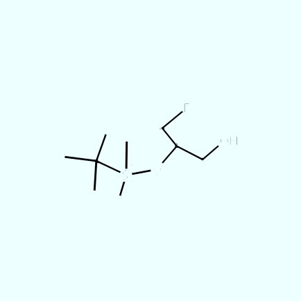 CC(C)(C)[Si](C)(C)OC(CO)CF